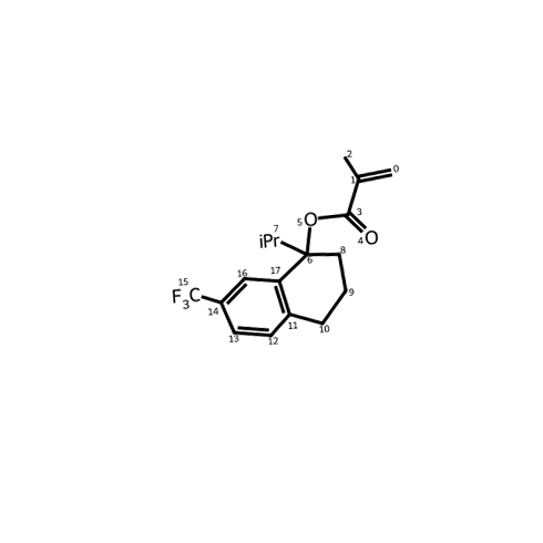 C=C(C)C(=O)OC1(C(C)C)CCCc2ccc(C(F)(F)F)cc21